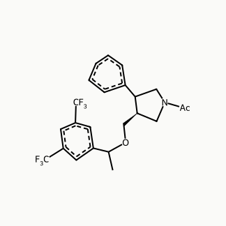 CC(=O)N1CC(c2ccccc2)[C@H](COC(C)c2cc(C(F)(F)F)cc(C(F)(F)F)c2)C1